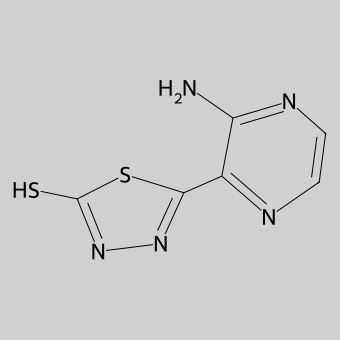 Nc1nccnc1-c1nnc(S)s1